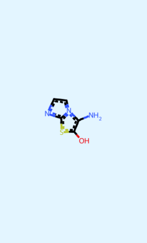 Nc1c(O)sc2nccn12